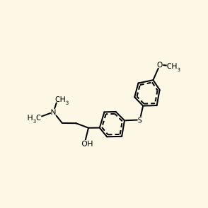 COc1ccc(Sc2ccc(C(O)CCN(C)C)cc2)cc1